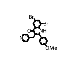 COc1ccc(-c2[nH]c3c(Br)cc(Br)cc3c(=O)c2Cc2ccncc2)cc1